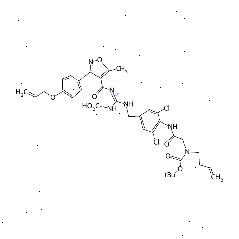 C=CCCN(CC(=O)Nc1c(Cl)cc(CN/C(=N/C(=O)c2c(-c3ccc(OCC=C)cc3)noc2C)NC(=O)O)cc1Cl)C(=O)OC(C)(C)C